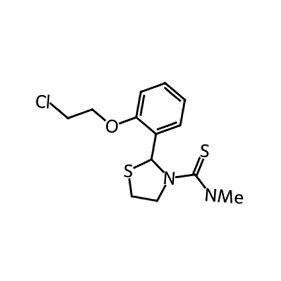 CNC(=S)N1CCSC1c1ccccc1OCCCl